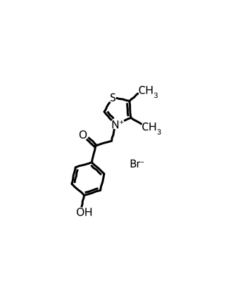 Cc1sc[n+](CC(=O)c2ccc(O)cc2)c1C.[Br-]